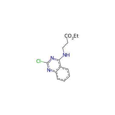 CCOC(=O)CCNc1nc(Cl)nc2ccccc12